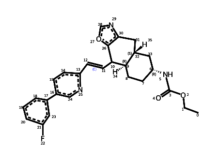 CCOC(=O)N[C@@H]1CC[C@H]2C(/C=C/c3ccc(-c4cccc(F)c4)cn3)c3ocnc3C[C@@H]2C1